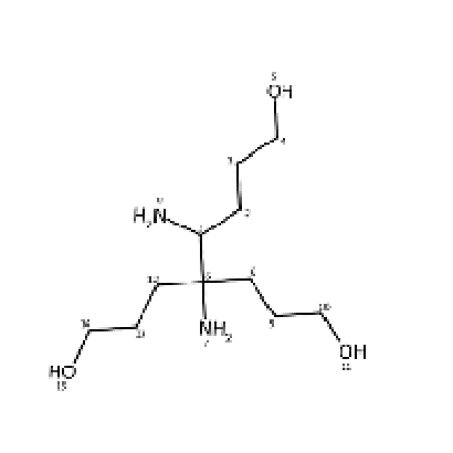 NC(CCCO)C(N)(CCCO)CCCO